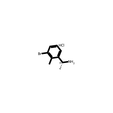 Cc1c(Br)cccc1[C@@H](C)N.Cl